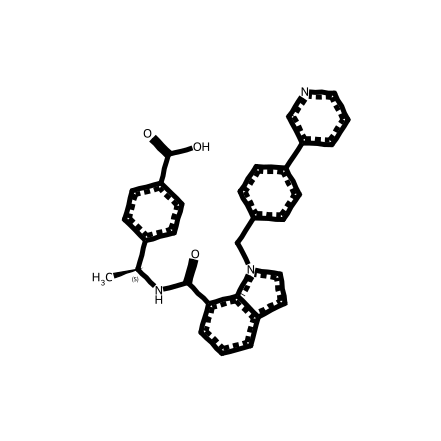 C[C@H](NC(=O)c1cccc2ccn(Cc3ccc(-c4cccnc4)cc3)c12)c1ccc(C(=O)O)cc1